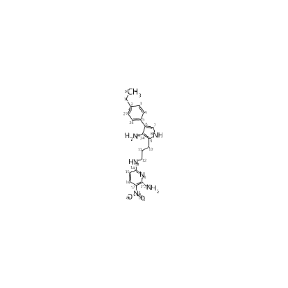 CCc1ccc(-c2c[nH]c(CCCNc3ccc([N+](=O)[O-])c(N)n3)c2N)cc1